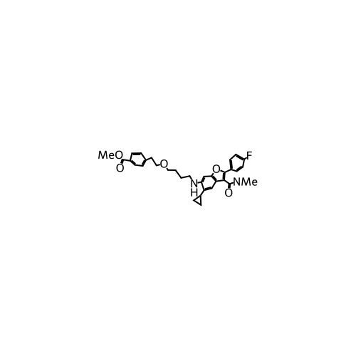 CNC(=O)c1c(-c2ccc(F)cc2)oc2cc(NCCCCOCCc3ccc(C(=O)OC)cc3)c(C3CC3)cc12